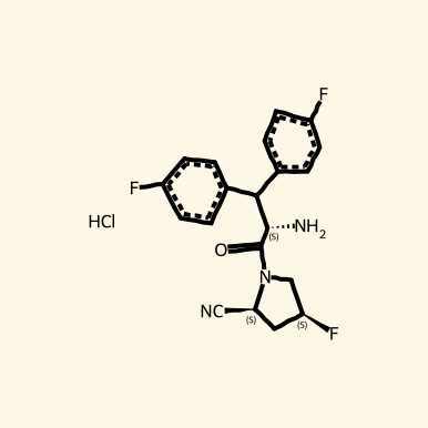 Cl.N#C[C@@H]1C[C@H](F)CN1C(=O)[C@@H](N)C(c1ccc(F)cc1)c1ccc(F)cc1